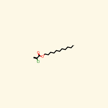 [CH2]CCCCCCCCCCOC(=O)C(=C)Cl